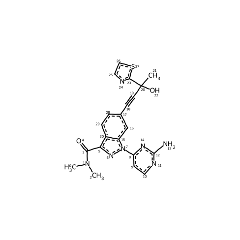 CN(C)C(=O)c1nn(-c2ccnc(N)n2)c2cc(C#CC(C)(O)c3nccs3)ccc12